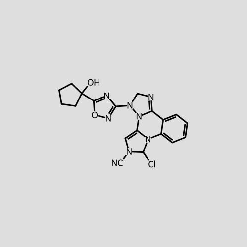 N#CN1C=C2N(c3ccccc3C3=NCN(c4noc(C5(O)CCCC5)n4)N23)C1Cl